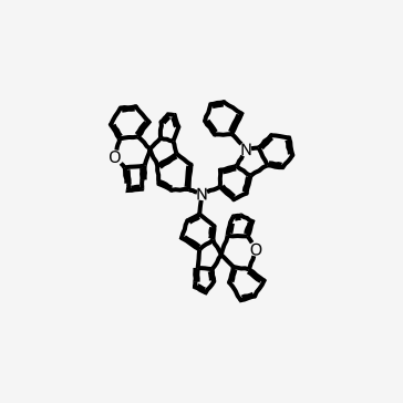 C1=CC2c3cc(N(c4ccc5c(c4)C4(c6ccccc6Oc6ccccc64)c4ccccc4-5)c4ccc5c6ccccc6n(-c6ccccc6)c5c4)ccc3C3(c4ccccc4Oc4ccccc43)C2C=C1